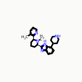 Cc1cccnc1[C@@H]1CCC[C@H](c2nc3cccc(C4CCNCC4)c3[nH]2)N1C